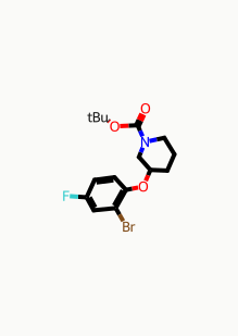 CC(C)(C)OC(=O)N1CCCC(Oc2ccc(F)cc2Br)C1